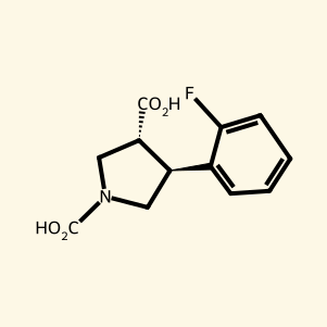 O=C(O)[C@H]1CN(C(=O)O)C[C@@H]1c1ccccc1F